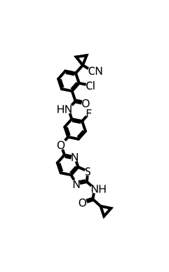 N#CC1(c2cccc(C(=O)Nc3cc(Oc4ccc5nc(NC(=O)C6CC6)sc5n4)ccc3F)c2Cl)CC1